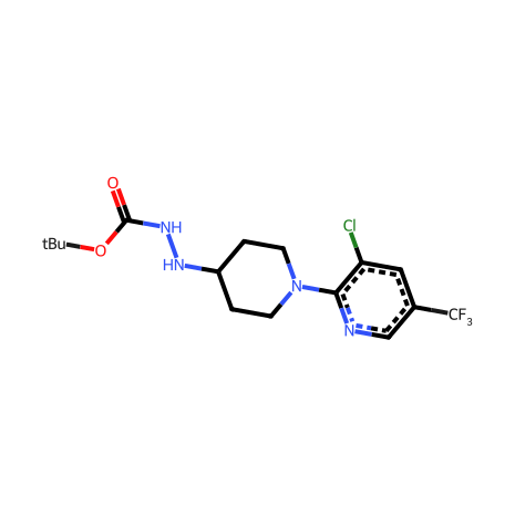 CC(C)(C)OC(=O)NNC1CCN(c2ncc(C(F)(F)F)cc2Cl)CC1